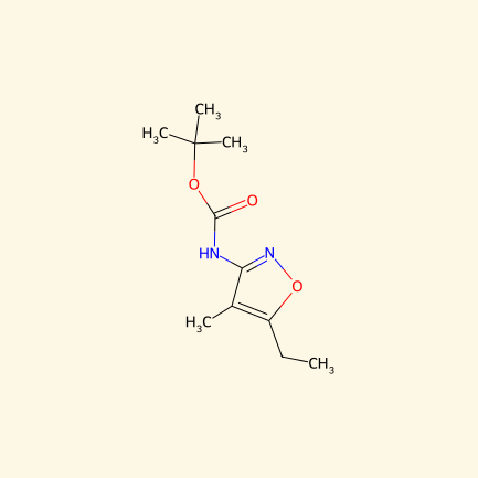 CCc1onc(NC(=O)OC(C)(C)C)c1C